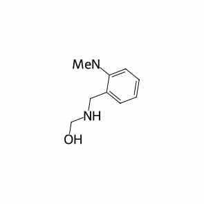 CNc1ccccc1CNCO